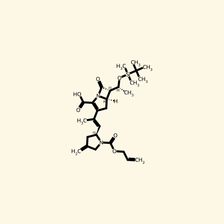 C=CCOC(=O)N1CC(=C)C[C@H]1C=C(C)C1=C(C(=O)O)N2C(=O)[C@H]([C@@H](C)O[Si](C)(C)C(C)(C)C)[C@H]2C1